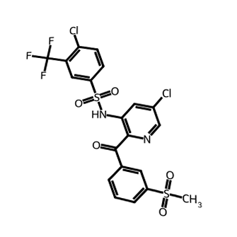 CS(=O)(=O)c1cccc(C(=O)c2ncc(Cl)cc2NS(=O)(=O)c2ccc(Cl)c(C(F)(F)F)c2)c1